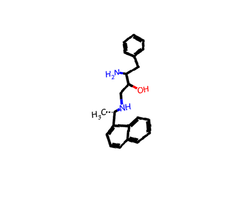 C[C@H](NCC(O)C(N)Cc1ccccc1)c1cccc2ccccc12